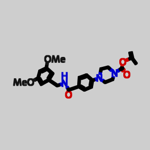 C=C(C)OC(=O)N1CCN(c2ccc(C(=O)NCc3cc(OC)cc(OC)c3)cc2)CC1